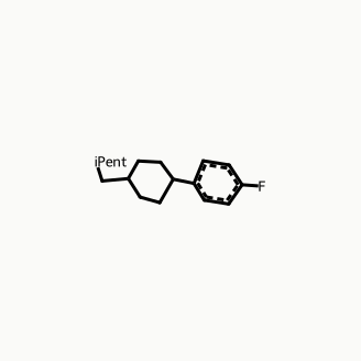 CCCC(C)CC1CCC(c2ccc(F)cc2)CC1